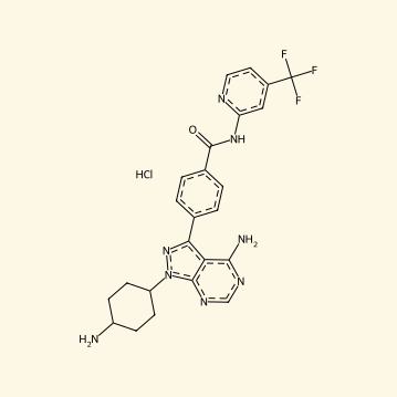 Cl.Nc1ncnc2c1c(-c1ccc(C(=O)Nc3cc(C(F)(F)F)ccn3)cc1)nn2C1CCC(N)CC1